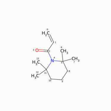 C=CC(=O)N1C(C)(C)C[CH]CC1(C)C